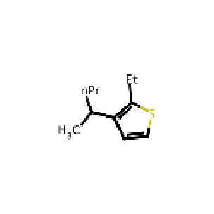 CCCC(C)c1ccsc1CC